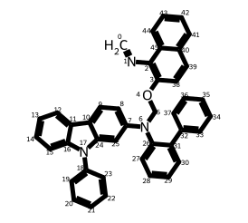 C=Nc1c(OCN(c2ccc3c4ccccc4n(-c4ccccc4)c3c2)c2ccccc2-c2ccccc2)ccc2ccccc12